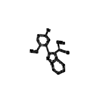 COC(=O)c1c(-c2cc(Br)ccc2OC)nn2ccccc12